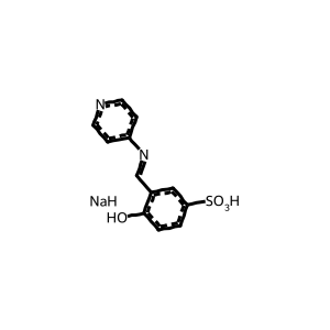 O=S(=O)(O)c1ccc(O)c(C=Nc2ccncc2)c1.[NaH]